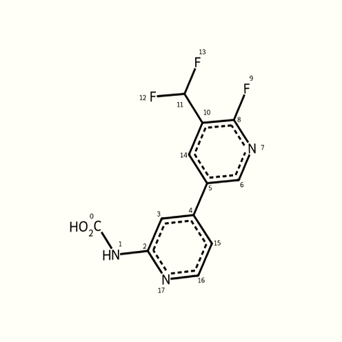 O=C(O)Nc1cc(-c2cnc(F)c(C(F)F)c2)ccn1